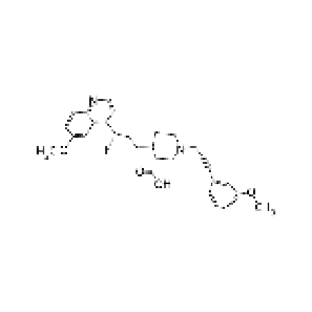 COc1cccc(C#CCN2CC[C@@H](CC[C@H](F)c3ccnc4ccc(OC)cc34)[C@@H](C(=O)O)C2)c1